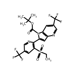 CCS(=O)(=O)c1cc(C(F)(F)F)cnc1-c1cc2ncc(C(F)(F)F)cc2n1C(=O)OC(C)(C)C